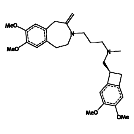 C=C1Cc2cc(OC)c(OC)cc2CCN1CCCN(C)C[C@H]1Cc2cc(OC)c(OC)cc21